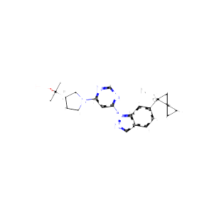 CC(C)(O)[C@@H]1CCN(c2cc(-n3ncc4ccc([C@]5(C#N)CC56CC6)cc43)ncn2)C1